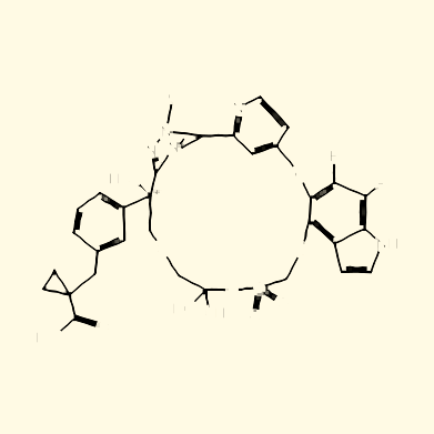 Cn1nc2nc1-c1cc(ccn1)Cc1c(F)c(F)c3[nH]ccc3c1CCS(=O)(=O)CC(C)(C)CCC[C@]2(C)c1cccc(CC2(C(=O)O)CC2)c1